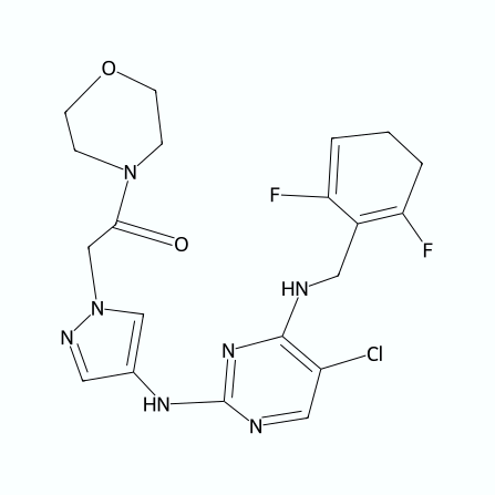 O=C(Cn1cc(Nc2ncc(Cl)c(NCC3=C(F)CCC=C3F)n2)cn1)N1CCOCC1